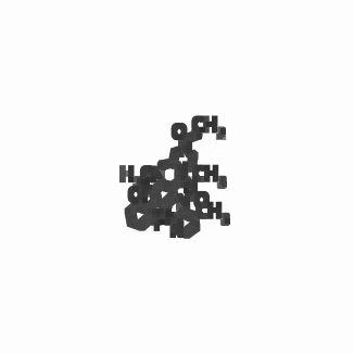 C=CC(=O)N1CC(C)N2c3nc(=O)n(-c4c(C)ccnc4C(C)C)c4c(F)c(-c5c(O)cccc5F)c(F)c(c34)N(C)CC2C1